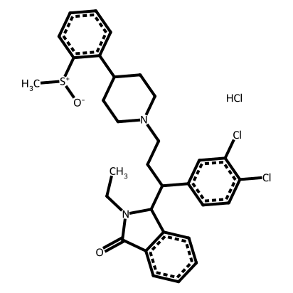 CCN1C(=O)c2ccccc2C1C(CCN1CCC(c2ccccc2[S+](C)[O-])CC1)c1ccc(Cl)c(Cl)c1.Cl